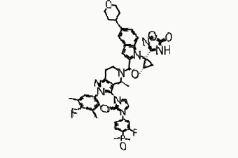 Cc1cc(-n2nc3c(c2-n2ccn(-c4ccc(P(C)(C)=O)c(F)c4)c2=O)[C@H](C)N(C(=O)c2cc4cc(C5CCOCC5)ccc4n2[C@@]2(c4noc(=O)[nH]4)C[C@@H]2C)CC3)cc(C)c1F